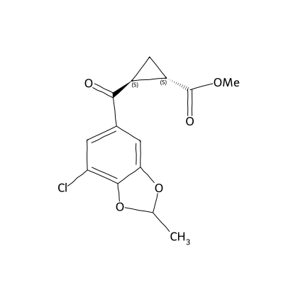 COC(=O)[C@H]1C[C@@H]1C(=O)c1cc(Cl)c2c(c1)OC(C)O2